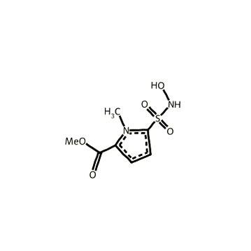 COC(=O)c1ccc(S(=O)(=O)NO)n1C